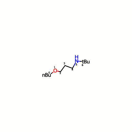 CCCCOCCCNC(C)(C)C